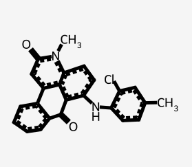 Cc1ccc(Nc2ccc3c4c(cc(=O)n3C)-c3ccccc3C(=O)c24)c(Cl)c1